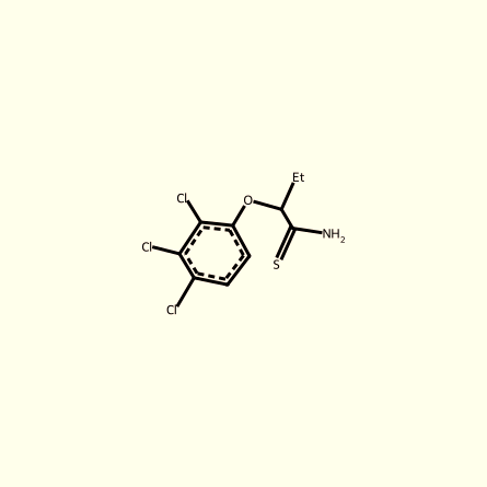 CCC(Oc1ccc(Cl)c(Cl)c1Cl)C(N)=S